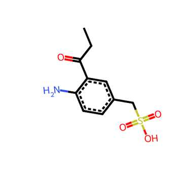 CCC(=O)c1cc(CS(=O)(=O)O)ccc1N